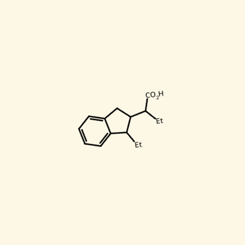 CCC(C(=O)O)C1Cc2ccccc2C1CC